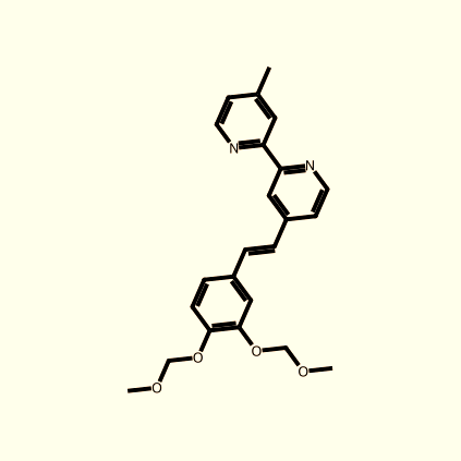 COCOc1ccc(C=Cc2ccnc(-c3cc(C)ccn3)c2)cc1OCOC